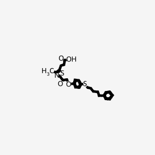 Cc1nc(C(=O)COc2ccc(SCCCCCc3ccccc3)cc2)sc1CCC(=O)O